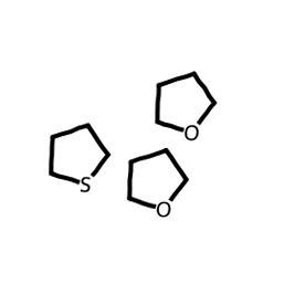 C1CCOC1.C1CCOC1.C1CCSC1